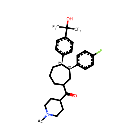 CC(=O)N1CCC(C(=O)C2CCC[C@@H](c3ccc(C(O)(C(F)(F)F)C(F)(F)F)cc3)[C@@H](c3ccc(F)cc3)C2)CC1